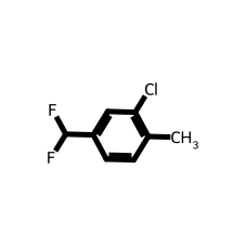 Cc1ccc(C(F)F)cc1Cl